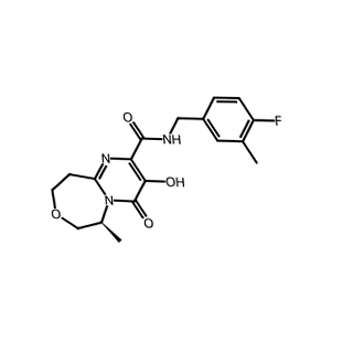 Cc1cc(CNC(=O)c2nc3n(c(=O)c2O)[C@@H](C)COCC3)ccc1F